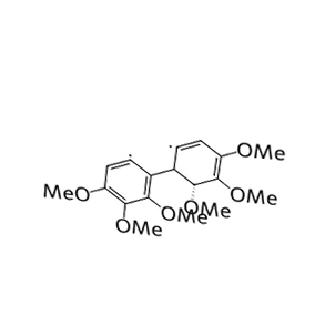 COC1=C(OC)[C@H](OC)C(c2[c]cc(OC)c(OC)c2OC)[C]=C1